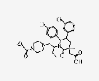 CCC(CN1CCN(C(=O)C2CC2)CC1)N1C(=O)C(C)(CC(=O)O)CC(c2cccc(Cl)c2)C1c1ccc(Cl)cc1